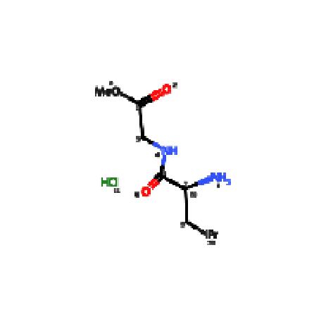 COC(=O)CNC(=O)[C@@H](N)CC(C)C.Cl